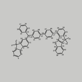 CC1(C)c2ccccc2-c2ccc(C(c3ccccc3)c3ccc(-c4ccc(-c5cccc6c5-c5sc7ccccc7c5C6(C)C)cc4)cc3)cc21